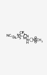 CS(=O)(=O)N1CCC(Nc2ncc(F)c(-c3sc(CN4CC(C#N)C4)nc3C(F)(F)F)n2)CC1